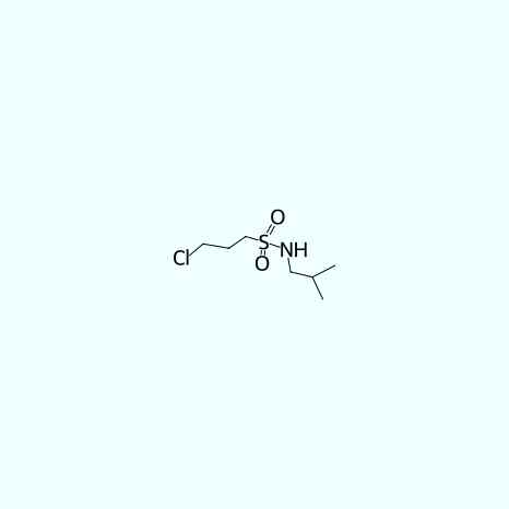 CC(C)CNS(=O)(=O)CCCCl